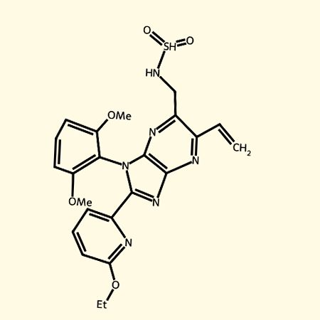 C=Cc1nc2nc(-c3cccc(OCC)n3)n(-c3c(OC)cccc3OC)c2nc1CN[SH](=O)=O